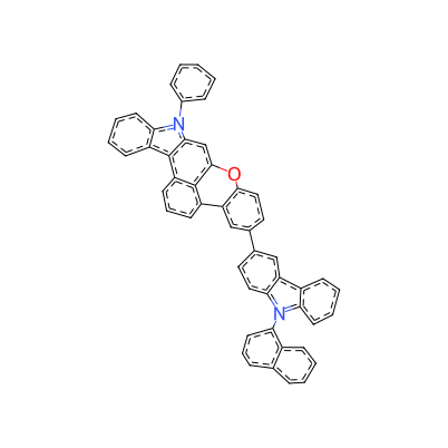 c1ccc(-n2c3ccccc3c3c4cccc5c4c(cc32)Oc2ccc(-c3ccc4c(c3)c3ccccc3n4-c3cccc4ccccc34)cc2-5)cc1